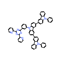 c1ccc(-n2c3ccccc3c3cc(-c4ccc5c(c4)c4cc(-c6ccc7c(c6)c6ccccc6n7-c6ccccc6)ccc4n5-c4cccc(-c5nc(-c6ccccn6)nc(-c6ccccn6)n5)c4)ccc32)cc1